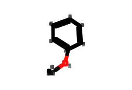 [Sc][O]c1ccccc1